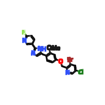 COc1cc(OCc2ncc(Cl)cc2Br)ccc1-c1cnc(-c2ccc(F)nc2)[nH]1